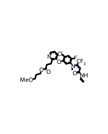 C=CNC(=O)/C=C(\N(C)c1cc(Oc2cccnc2CCC(=O)OCCCOC)c(Cl)cc1F)C(F)(F)F